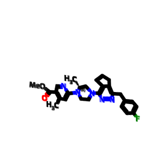 COC(=O)c1cnc(N2CCN(c3nnc(Cc4ccc(F)cc4)c4c3CCC4)C[C@H]2C)cc1C